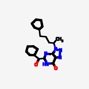 CC(CCCc1ccccc1)n1nnc2c(=O)[nH]c(C(=O)c3ccccc3)nc21